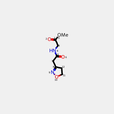 COC(=O)CNC(=O)CC1=NOCC1